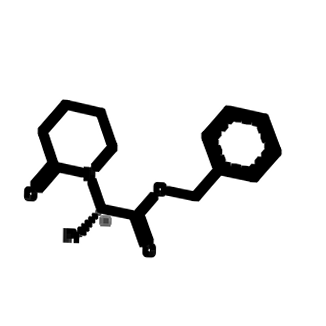 CC(C)[C@@H](C(=O)OCc1ccccc1)N1CCCCC1=O